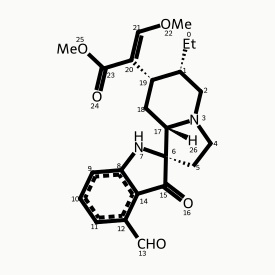 CC[C@@H]1CN2CC[C@]3(Nc4cccc(C=O)c4C3=O)[C@@H]2C[C@@H]1/C(=C\OC)C(=O)OC